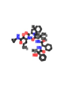 CCC[C@H](NC(=O)[C@@H]1C[C@@H]2CCCC[C@@H]2N1C(=O)[C@@H](NC(=O)[C@@H](NC(=O)[C@@](C)(O)c1ccccc1)C1CCCCC1)C(C)(C)C)C(=O)C(=O)NC1CC1